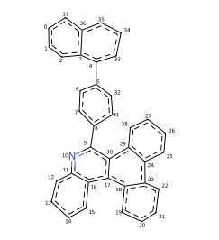 c1ccc2c(-c3ccc(-c4nc5ccccc5c5c6ccccc6c6ccccc6c45)cc3)cccc2c1